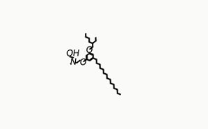 CCCCCCCCCCCCCCCc1cc(OCCN(C)CCO)cc(OCC(CC)CCCC)c1